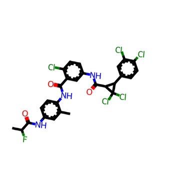 Cc1cc(NC(=O)C(C)F)ccc1NC(=O)c1cc(NC(=O)C2C(c3ccc(Cl)c(Cl)c3)C2(Cl)Cl)ccc1Cl